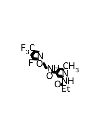 CCC(=O)Nc1cc(C(=O)NCCOc2ncc(C(F)(F)F)cc2F)cc(C)n1